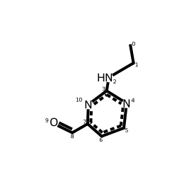 CCNc1nccc(C=O)n1